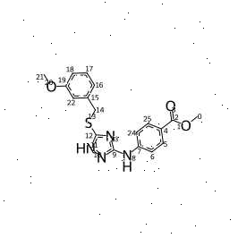 COC(=O)c1ccc(Nc2n[nH]c(SCc3cccc(OC)c3)n2)cc1